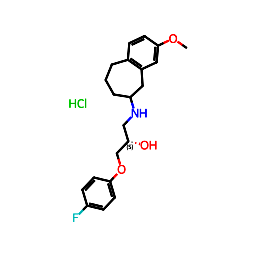 COc1ccc2c(c1)CC(NC[C@H](O)COc1ccc(F)cc1)CCC2.Cl